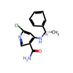 C[C@H](Nc1cc(Cl)ncc1C(N)=O)c1ccccc1